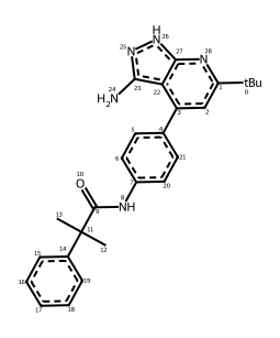 CC(C)(C)c1cc(-c2ccc(NC(=O)C(C)(C)c3ccccc3)cc2)c2c(N)n[nH]c2n1